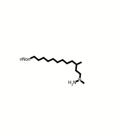 CCCCCCCCCCCCCCCCCCC(C)CCN(C)N